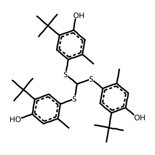 Cc1cc(O)c(C(C)(C)C)cc1SC(Sc1cc(C(C)(C)C)c(O)cc1C)Sc1cc(C(C)(C)C)c(O)cc1C